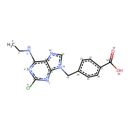 CCNc1nc(Cl)nc2c1ncn2Cc1ccc(C(=O)O)cc1